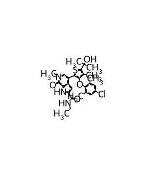 CCNC(=O)c1cc2c(-c3sc(C(C)(C)O)c(C)c3Oc3c(C)cc(Cl)cc3C)cn(C)c(=O)c2[nH]1